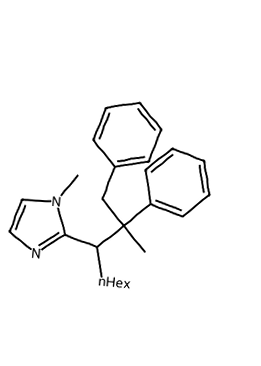 CCCCCCC(c1nccn1C)C(C)(Cc1ccccc1)c1ccccc1